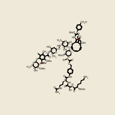 CCN(C(=O)OCc1ccc(NC(=O)[C@H](CCCNC(N)=O)NC(=O)[C@@H](NC(=O)[C@H](CCCCN)NC(C)=O)C(C)C)cc1)[C@H]1CO[C@@H](O[C@H]2[C@H](O[C@H]3C#CC=CC#C[C@]4(O)CC(=O)C(NC(=O)OC)=C3/C4=C\CSSc3ccc(C(=O)O)cc3)O[C@H](C)[C@@H](NO[C@H]3C[C@H](O)[C@H](SC(=O)c4c(C)c(I)c(O[C@@H]5O[C@@H](C)[C@H](O)[C@@H](OC)[C@H]5O)c(OC)c4OC)[C@@H](C)O3)[C@@H]2O)C[C@@H]1OC